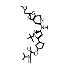 COCc1nc2cc(Nc3cc(C4CCC(OC(=O)NC(C)C)C4)n(C(C)(C)C)n3)ncc2s1